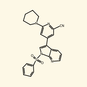 N#Cc1cc(-c2cn(S(=O)(=O)c3ccccc3)c3ncccc23)cc(N2CCCCC2)n1